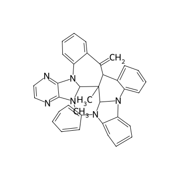 C=C1c2ccccc2N2c3nccnc3N(C)C2C2(C)C1c1ccccc1N1c3ccccc3N(c3ccccc3)C12